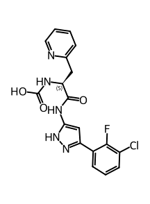 O=C(O)N[C@@H](Cc1ccccn1)C(=O)Nc1cc(-c2cccc(Cl)c2F)n[nH]1